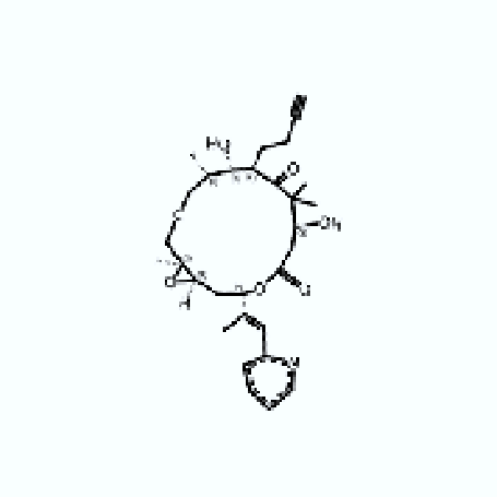 C#CCC[C@H]1C(=O)C(C)(C)[C@@H](O)CC(=O)O[C@H](C(C)=Cc2ccccn2)C[C@H]2O[C@@]2(C)CCC[C@H](C)[C@@H]1O